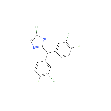 Fc1ccc(C(c2ccc(F)c(Cl)c2)c2ncc(Cl)[nH]2)cc1Cl